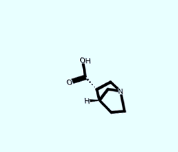 O=C(O)[C@@H]1CN2CC[C@H]1C2